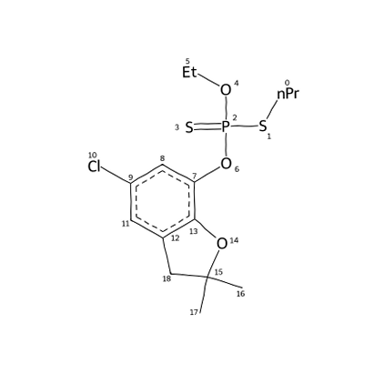 CCCSP(=S)(OCC)Oc1cc(Cl)cc2c1OC(C)(C)C2